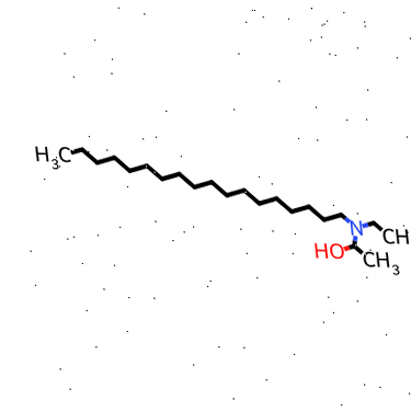 CCCCCCCCCCCCCCCCCCN(CC)C(C)O